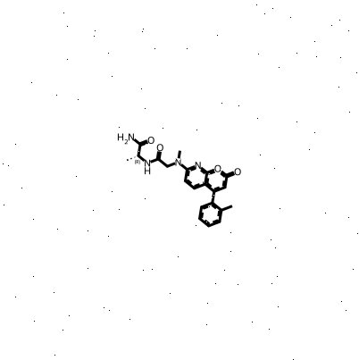 Cc1ccccc1-c1cc(=O)oc2nc(N(C)CC(=O)N[C@H](C)C(N)=O)ccc12